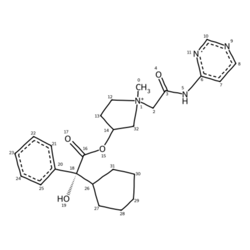 C[N+]1(CC(=O)Nc2ccncn2)CCC(OC(=O)[C@](O)(c2ccccc2)C2CCCCC2)C1